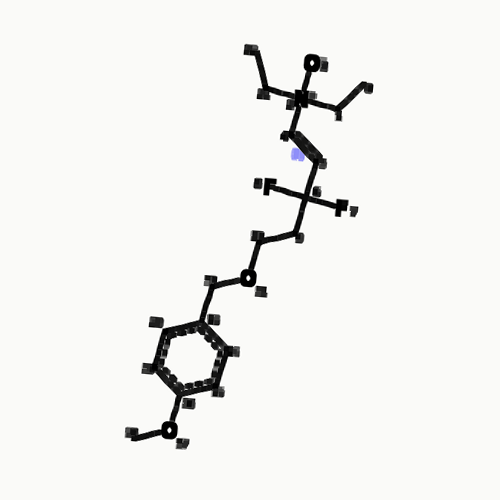 CC[N+]([O-])(/C=C/C(F)(F)CCOCc1ccc(OC)cc1)CC